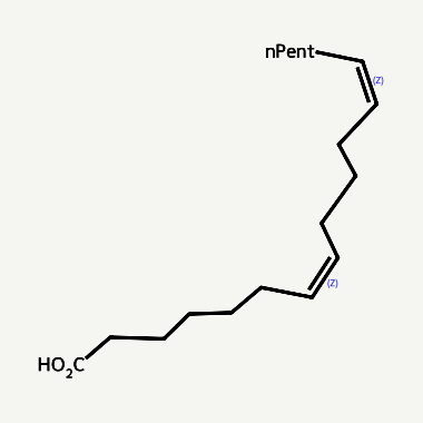 CCCCC/C=C\CCC/C=C\CCCCCC(=O)O